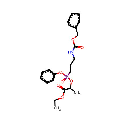 CCOC(=O)[C@H](C)OP(=O)(CCCNC(=O)OCc1ccccc1)Oc1ccccc1